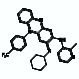 Cc1ncccc1Nc1cc2nc3ccccc3n(-c3ccc(C(F)(F)F)cc3)c-2cc1=NC1CCCCC1